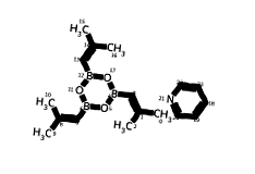 CC(C)=CB1OB(C=C(C)C)OB(C=C(C)C)O1.c1ccncc1